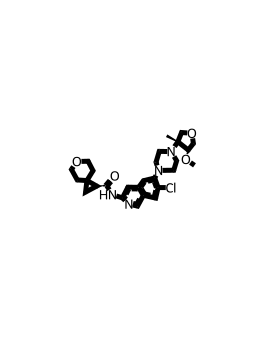 CO[C@H]1COC[C@@]1(C)N1CCN(c2cc3cc(NC(=O)[C@@H]4CC45CCOCC5)ncc3cc2Cl)CC1